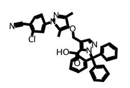 Cc1nn(-c2ccc(C#N)c(Cl)c2)c(C)c1OCc1cnn(C(c2ccccc2)(c2ccccc2)c2ccccc2)c1C(=O)O